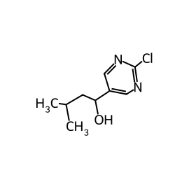 CC(C)CC(O)c1cnc(Cl)nc1